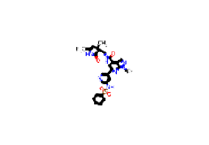 Cc1cc(C)c(CNC(=O)c2cc(-c3cncc(NS(=O)(=O)c4ccccc4)c3)nc3c2cnn3C(C)C)c(=O)[nH]1